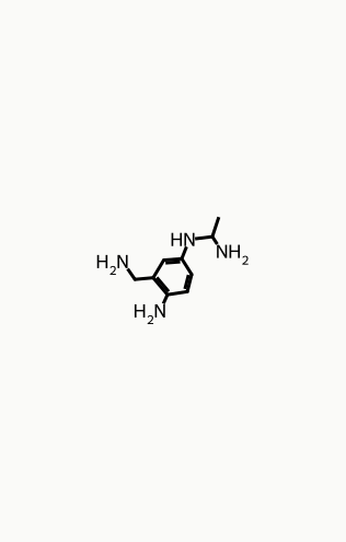 CC(N)Nc1ccc(N)c(CN)c1